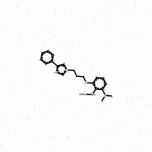 CCCCCCNc1c(OCCCn2cnc(-c3ccccc3)c2)cccc1N(C)C